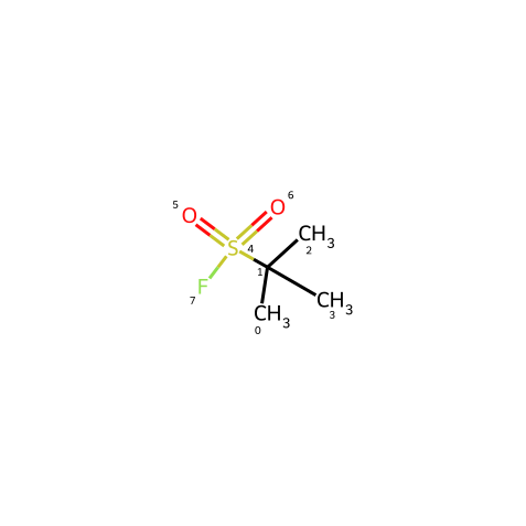 CC(C)(C)S(=O)(=O)F